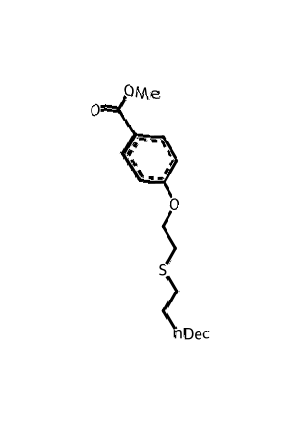 CCCCCCCCCCCCSCCOc1ccc(C(=O)OC)cc1